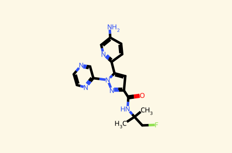 CC(C)(CF)NC(=O)c1cc(-c2ccc(N)cn2)n(-c2cnccn2)n1